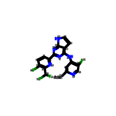 CC(=O)Nc1cc(Nc2nc(-c3ccc(F)c(C(F)F)n3)nc3[nH]ccc23)c(F)cn1